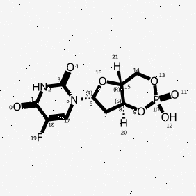 O=c1[nH]c(=O)n([C@H]2C[C@@H]3OP(=O)(O)OC[C@H]3O2)cc1F